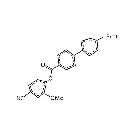 CCCCCc1ccc(-c2ccc(C(=O)Oc3ccc(C#N)cc3OC)cc2)cc1